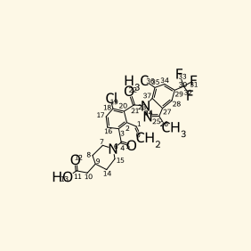 C=Cc1c(C(=O)N2CCC(CC(=O)O)CC2)ccc(Cl)c1C(=O)n1nc(C)c2cc(C(F)(F)F)cc(C)c21